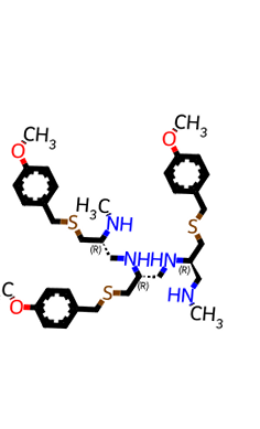 CNC[C@H](CSCc1ccc(OC)cc1)NC[C@H](CSCc1ccc(OC)cc1)NC[C@H](CSCc1ccc(OC)cc1)NC